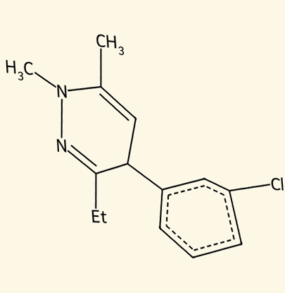 CCC1=NN(C)C(C)=CC1c1cccc(Cl)c1